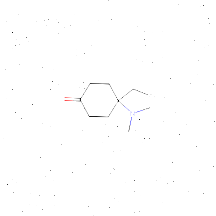 CC(=O)CC1(N(C)C)CCC(=O)CC1